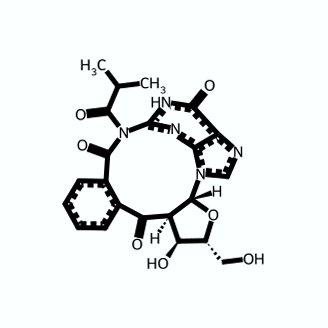 CC(C)C(=O)N1C(=O)c2ccccc2C(=O)[C@@H]2[C@H](O)[C@@H](CO)O[C@H]2n2cnc3c(=O)[nH]c1nc32